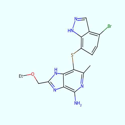 CCOCc1nc2c(N)nc(C)c(Sc3ccc(Br)c4cn[nH]c34)c2[nH]1